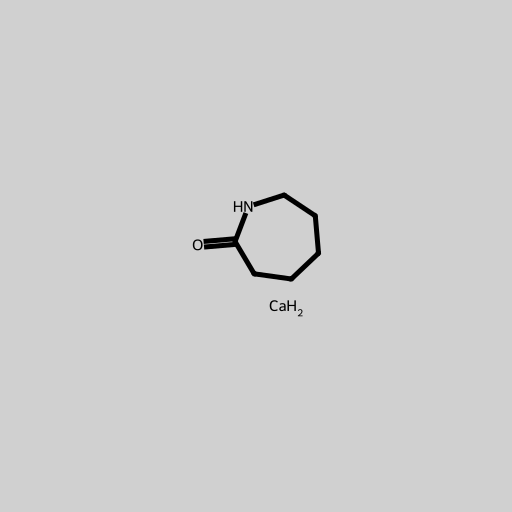 O=C1CCCCCN1.[CaH2]